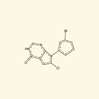 O=c1[nH]cnc2c1cc(Cl)n2-c1cccc(Br)c1